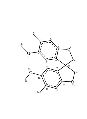 COc1cc2c(cc1C)OCC21COc2cc(C)c(OC)cc21